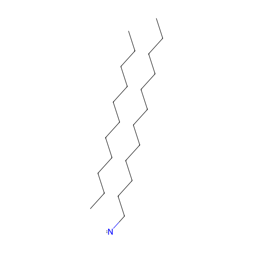 CCCCCCCCCCC.CCCCCCCCCCCC[N]